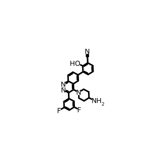 N#Cc1cccc(-c2ccc3nnc(-c4cc(F)cc(F)c4)c(N4CCC(N)CC4)c3c2)c1O